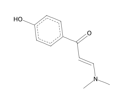 CN(C)C=CC(=O)c1ccc(O)cc1